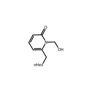 CCCCCCCc1cccc(=O)n1CO